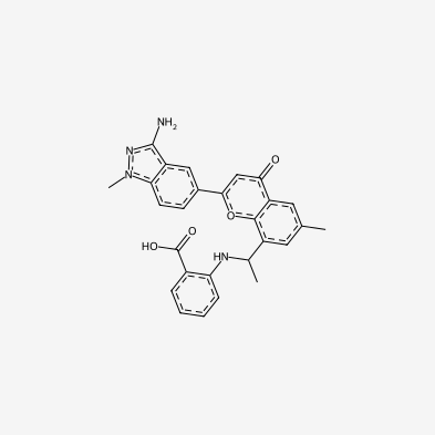 Cc1cc(C(C)Nc2ccccc2C(=O)O)c2oc(-c3ccc4c(c3)c(N)nn4C)cc(=O)c2c1